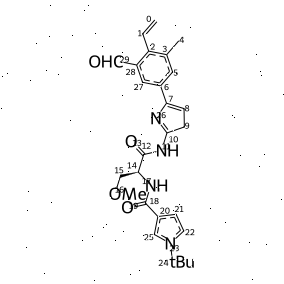 C=Cc1c(C)cc(C2=CCC(NC(=O)[C@H](COC)NC(=O)c3ccn(C(C)(C)C)c3)=N2)cc1C=O